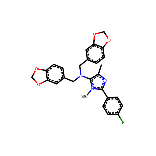 CCCCn1c(-c2ccc(F)cc2)nc(C)c1N(Cc1ccc2c(c1)OCO2)Cc1ccc2c(c1)OCO2